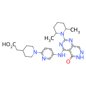 CC1CCCC(C)N1c1nc(Nc2ccc(N3CCC(CC(=O)O)CC3)nc2)c2c(=O)[nH]ncc2n1